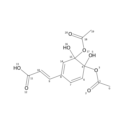 CC(=O)OC1(O)C=CC(C=CC(=O)O)=CC1(O)OC(C)=O